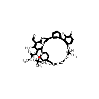 COC(=O)[C@@H](OC(C)(C)C)c1c(C)c(C=O)c2nc3cn2c1N1CCC(C)(CC1)OCCCC[C@H](C)Oc1ccc(F)c(F)c1-c1cccc-3c1